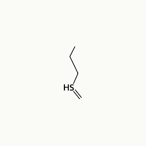 C=[SH]CCC